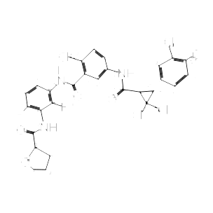 O=C(Nc1ccc(F)c(NC(=O)C2CCCO2)c1F)c1cc(NC(=O)C2[C@H](c3ccc(Cl)c(Cl)c3)C2(Cl)Cl)ccc1Cl